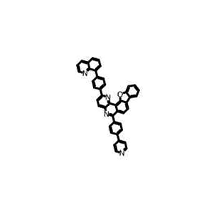 c1cnc2c(-c3ccc(-c4ccc5nc(-c6ccc(-c7ccncc7)cc6)c6ccc7c8ccccc8oc7c6c5n4)cc3)cccc2c1